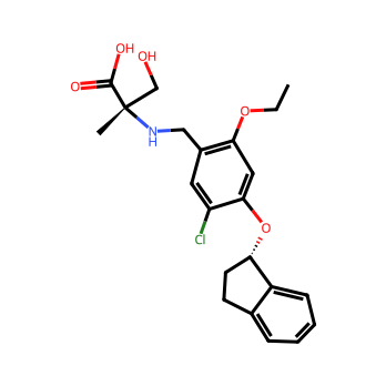 CCOc1cc(O[C@H]2CCc3ccccc32)c(Cl)cc1CN[C@@](C)(CO)C(=O)O